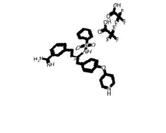 N=C(N)c1cccc(CC[C@H](Cc2ccc(OC3CCNCC3)cc2)NS(=O)(=O)c2ccccc2)c1.O=C(O)C(F)(F)F.O=C(O)C(F)(F)F